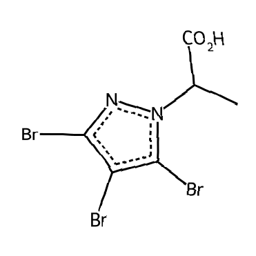 CC(C(=O)O)n1nc(Br)c(Br)c1Br